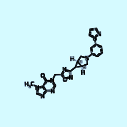 Cn1cnc2ncn(Cc3nc(C4[C@H]5CN(c6cccc(-n7cccn7)c6)C[C@@H]45)no3)c(=O)c21